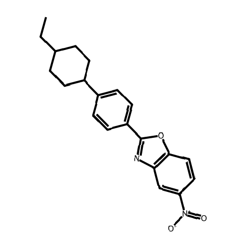 CCC1CCC(c2ccc(-c3nc4cc([N+](=O)[O-])ccc4o3)cc2)CC1